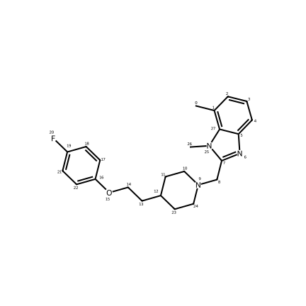 Cc1cccc2nc(CN3CCC(CCOc4ccc(F)cc4)CC3)n(C)c12